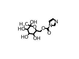 CC1(O)OC(COC(=O)n2ccnc2)C(O)C(O)C1O